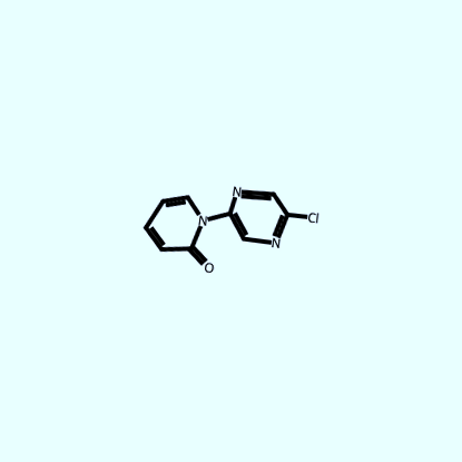 O=c1ccccn1-c1cnc(Cl)cn1